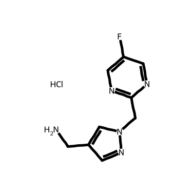 Cl.NCc1cnn(Cc2ncc(F)cn2)c1